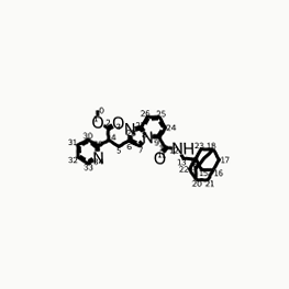 COC(=O)C(Cc1cn2c(C(=O)NCC34CC5CC(CC(C5)C3)C4)cccc2n1)c1ccccn1